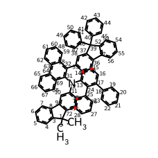 CC1(C)c2ccccc2-c2cc(N(c3cccc(-c4ccccc4)c3-c3ccccc3)c3c(-c4ccc5c(c4)C(c4ccccc4)(c4ccccc4)c4ccccc4-5)c4ccccc4c4ccccc34)ccc21